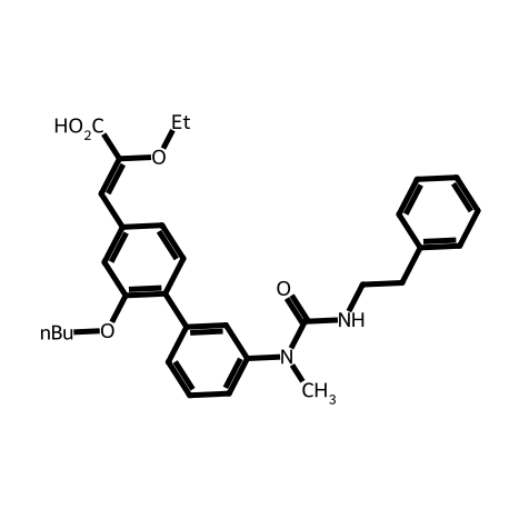 CCCCOc1cc(C=C(OCC)C(=O)O)ccc1-c1cccc(N(C)C(=O)NCCc2ccccc2)c1